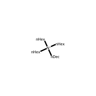 CCCCCCCCCC[N+](CCCCCC)(CCCCCC)CCCCCC